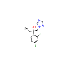 CC(C)(C)CC(O)(Cn1cncn1)c1ccc(F)cc1F